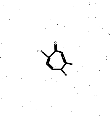 CC1=CC(=O)C(O)=C=CC1C